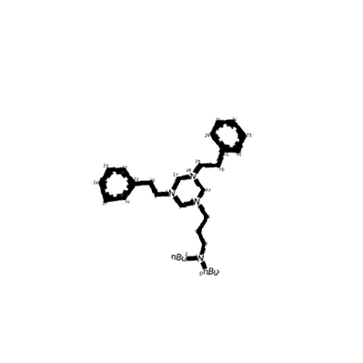 CCCCN(CCCC)CCCN1CN(CCc2ccccc2)CN(CCc2ccccc2)C1